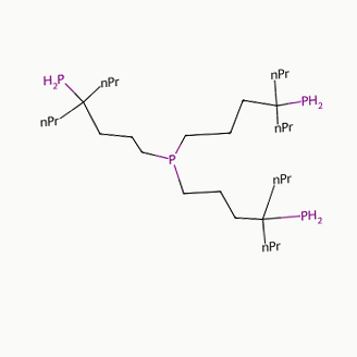 CCCC(P)(CCC)CCCP(CCCC(P)(CCC)CCC)CCCC(P)(CCC)CCC